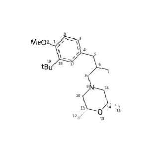 COc1ccc(CC(C)CN2C[C@@H](C)O[C@@H](C)C2)cc1C(C)(C)C